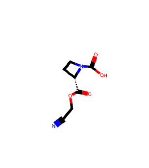 N#CCOC(=O)[C@@H]1CCN1C(=O)O